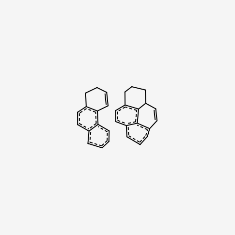 C1=CC2CCCc3ccc4cccc1c4c32.C1=Cc2c(ccc3ccccc23)CC1